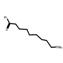 CC(C)COCCCCCCCCC(=O)C(C)C